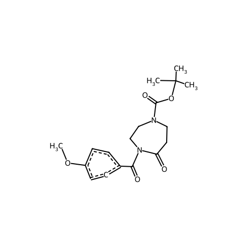 COc1ccc(C(=O)N2CCN(C(=O)OC(C)(C)C)CCC2=O)cc1